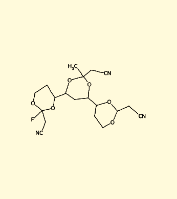 CC1(CC#N)OC(C2CCOC(CC#N)O2)CC(C2CCOC(F)(CC#N)O2)O1